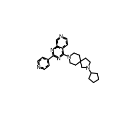 c1cc(-c2nc(N3CCC4(CC3)CCN(C3CCCC3)C4)c3ccncc3n2)ccn1